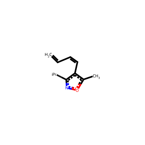 C=C/C=C\c1c(C(C)C)noc1C